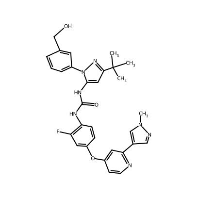 Cn1cc(-c2cc(Oc3ccc(NC(=O)Nc4cc(C(C)(C)C)nn4-c4cccc(CO)c4)c(F)c3)ccn2)cn1